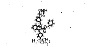 CC(C)(C)c1ccc(-c2c(C(=O)OCc3ccccc3)n(Cc3cccc(N4CCNCC4)c3)c3ccccc23)cc1